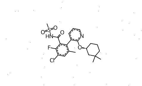 Cc1cc(Cl)c(F)c(C(=O)NS(C)(=O)=O)c1-c1cccnc1O[C@H]1CCCC(C)(C)C1